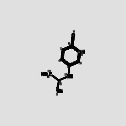 CC(C)(C)[C@H](Nc1ccc(=O)[nH]c1)C(=O)O